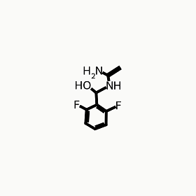 C=C(N)NC(O)c1c(F)cccc1F